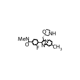 CNC(=O)c1ccc(-c2nc3cc(C)ccn3c2C[C@H]2CNCCO2)c(F)c1